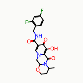 CC1CCOC2Cn3cc(C(=O)NCc4ccc(F)cc4F)c(=O)c(O)c3C(=O)N12